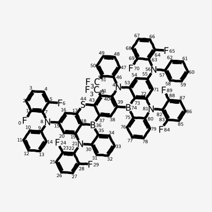 Fc1cccc(F)c1N(c1ccccc1)c1cc2c3c(c1)N(c1c(F)cccc1F)c1ccccc1B3c1cc3c(c(C(F)(F)F)c1S2)N(c1ccccc1C(F)(F)F)c1cc(N(c2ccccc2)c2c(F)cccc2F)cc2c1B3c1ccccc1N2c1c(F)cccc1F